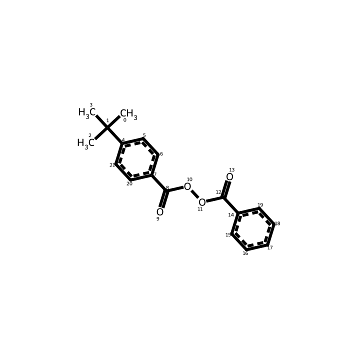 CC(C)(C)c1ccc(C(=O)OOC(=O)c2ccccc2)cc1